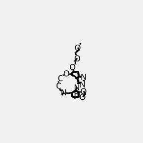 COCCOCCOc1cc2ncnc3c2cc1OCCCCCN(C)Cc1ccc2c(c1N3)OCO2